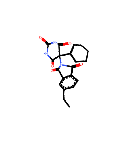 CCc1ccc2c(c1)C(=O)N(C1(C3CCCCC3)C(=O)NC(=O)NC1=O)C2=O